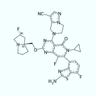 N#Cc1cnn2c1CN(c1nc(OC[C@@]34CCCN3C[C@H](F)C4)nc3c(F)c(-c4ccc(F)c5sc(N)nc45)n(C4CC4)c(=O)c13)CC2